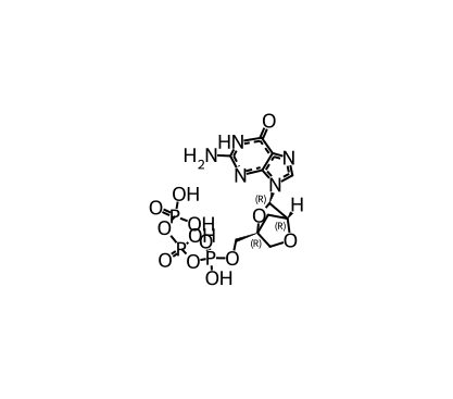 Nc1nc2c(ncn2[C@@H]2O[C@@]3(COP(=O)(O)OP(=O)(O)OP(=O)(O)O)CO[C@@H]2C3)c(=O)[nH]1